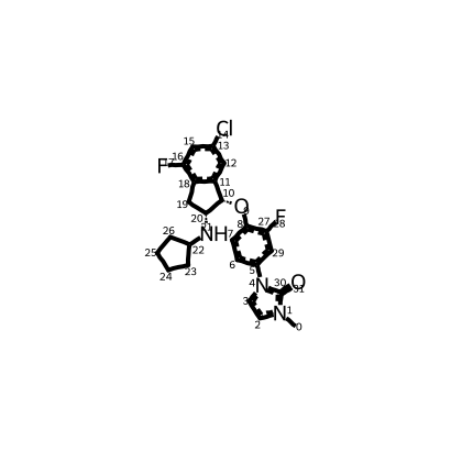 Cn1ccn(-c2ccc(O[C@H]3c4cc(Cl)cc(F)c4C[C@H]3NC3CCCC3)c(F)c2)c1=O